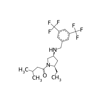 CC[C@@H]1C[C@H](NCc2cc(C(F)(F)F)cc(C(F)(F)F)c2)CN1C(=O)CC(C)C